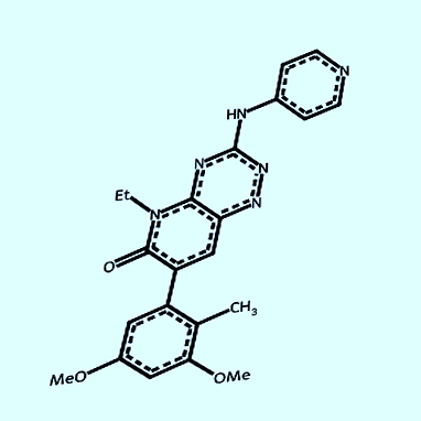 CCn1c(=O)c(-c2cc(OC)cc(OC)c2C)cc2nnc(Nc3ccncc3)nc21